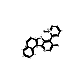 Cc1cnc2c(oc3ccc4ccccc4c32)c1-c1cccc[n+]1C